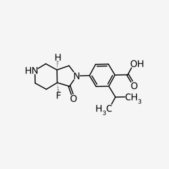 CC(C)c1cc(N2C[C@@H]3CNCC[C@]3(F)C2=O)ccc1C(=O)O